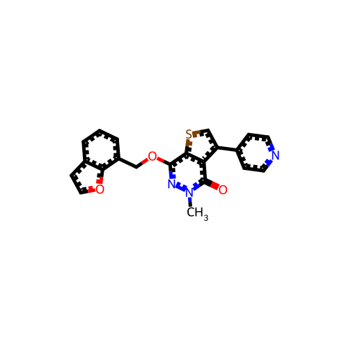 Cn1nc(OCc2cccc3ccoc23)c2scc(-c3ccncc3)c2c1=O